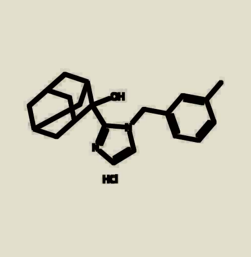 Cc1cccc(Cn2ccnc2C2(O)C3CC4CC(C3)CC2C4)c1.Cl